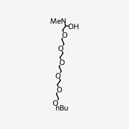 CCCCOCCOCCOCCOCCOCCOCC(O)NC